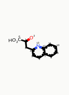 O=C(O)C(=O)Cc1ccc2ccccc2n1